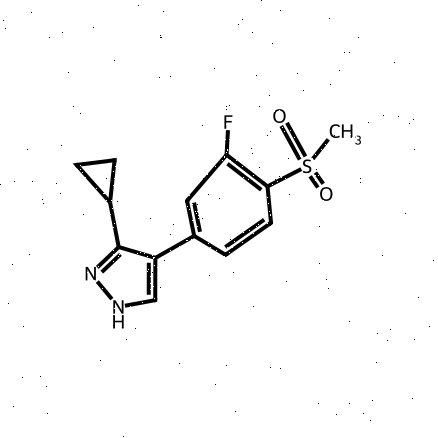 CS(=O)(=O)c1ccc(-c2c[nH]nc2C2CC2)cc1F